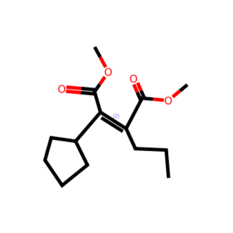 CCC/C(C(=O)OC)=C(/C(=O)OC)C1CCCC1